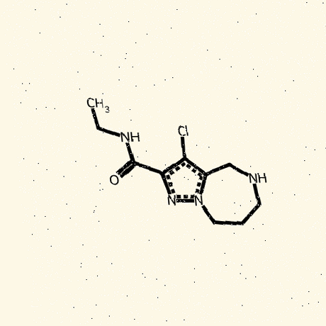 CCNC(=O)c1nn2c(c1Cl)CNCCC2